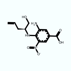 C=CC[C@@H](CO)Nc1c(N)cc(C(=O)O)cc1[N+](=O)[O-]